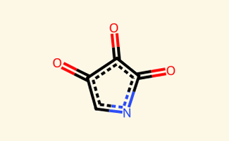 O=c1cnc(=O)c1=O